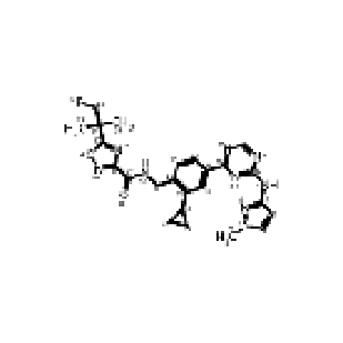 Cn1ccc(Nc2ncnc(-c3ccc(CNC(=O)c4noc(C(C)(C)CF)n4)c(C4CC4)c3)n2)n1